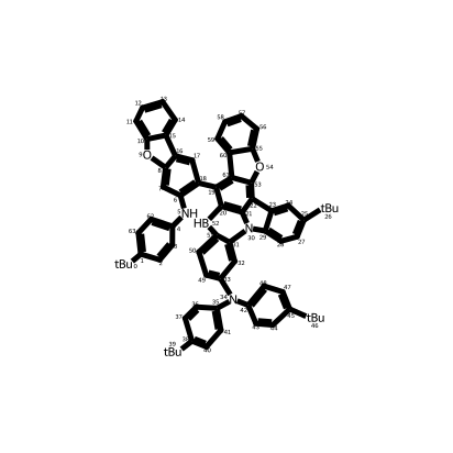 CC(C)(C)c1ccc(Nc2cc3oc4ccccc4c3cc2-c2c3c4c(c5cc(C(C)(C)C)ccc5n4-c4cc(N(c5ccc(C(C)(C)C)cc5)c5ccc(C(C)(C)C)cc5)ccc4B3)c3oc4ccccc4c23)cc1